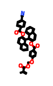 C=C(C)C(=O)OCOc1ccc(C(=O)Oc2ccc3ccccc3c2-c2c(OC(=O)c3ccc(C#N)cc3)ccc3ccccc23)cc1